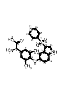 Cc1cc([C@@H](N)C(=O)O)cc(C)c1Oc1ccc2[nH]cc(S(=O)(=O)c3ccncc3)c2c1